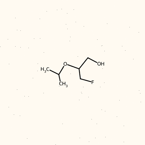 CC(C)OC(CO)CF